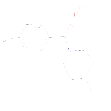 [B+2]c1ccc(C(=O)N2CCC(C)CC2)cc1.[OH-].[OH-]